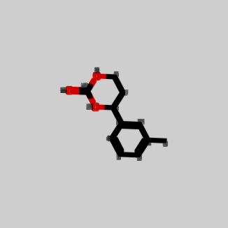 Cc1cc[c]c(C2CCOC(=O)O2)c1